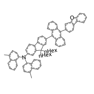 CCCCCCC1(CCCCCC)c2cc(-c3c4ccccc4c(-c4ccc5c(c4)oc4ccccc45)c4ccccc34)ccc2-c2ccc(N(c3ccc(C)c4ccccc34)c3ccc(C)c4ccccc34)cc21